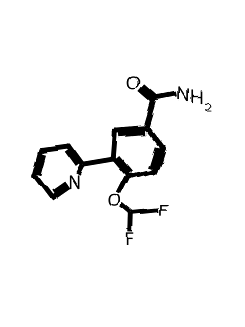 NC(=O)c1ccc(OC(F)F)c(-c2ccccn2)c1